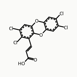 O=C(O)/C=C/c1c(Cl)c(Cl)cc2c1Oc1cc(Cl)c(Cl)cc1O2